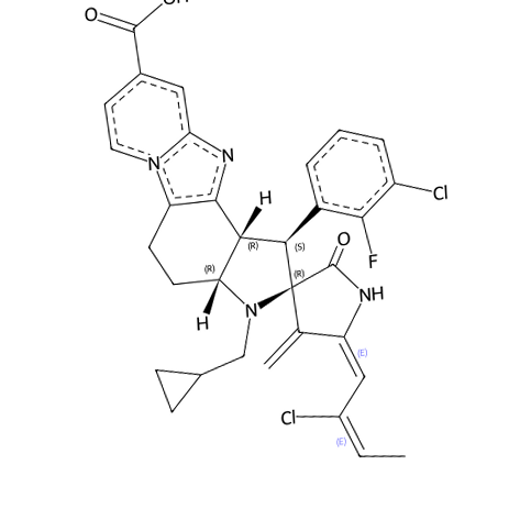 C=C1/C(=C\C(Cl)=C/C)NC(=O)[C@@]12[C@H](c1cccc(Cl)c1F)[C@H]1c3nc4cc(C(=O)O)ccn4c3CC[C@H]1N2CC1CC1